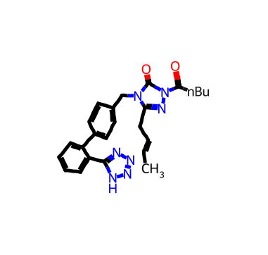 CC=CCc1nn(C(=O)CCCC)c(=O)n1Cc1ccc(-c2ccccc2-c2nnn[nH]2)cc1